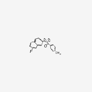 Cc1ccc(S(=O)(=O)Oc2ccc3ccc(F)cc3c2)cc1